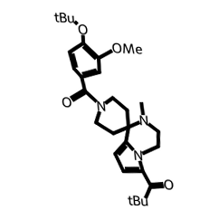 COc1cc(C(=O)N2CCC3(CC2)c2ccc(C(=O)C(C)(C)C)n2CCN3C)ccc1OC(C)(C)C